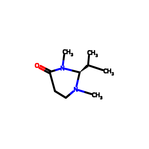 CC(C)[C@@H]1N(C)CCC(=O)N1C